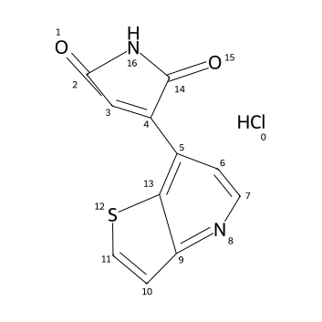 Cl.O=C1C=C(c2ccnc3ccsc23)C(=O)N1